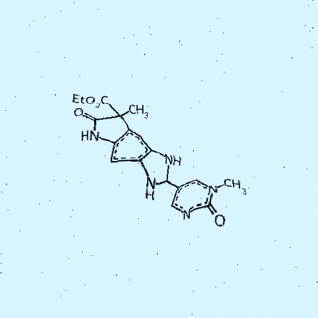 CCOC(=O)C1(C)C(=O)Nc2cc3c(cc21)NC(c1cnc(=O)n(C)c1)N3